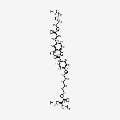 C=C(C)C(=O)OCCCCCCOc1ccc(C(=O)Oc2ccc(/C=C/C(=O)OCCOCC)cc2Cl)cc1